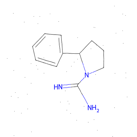 N=C(N)N1CCCC1c1ccccc1